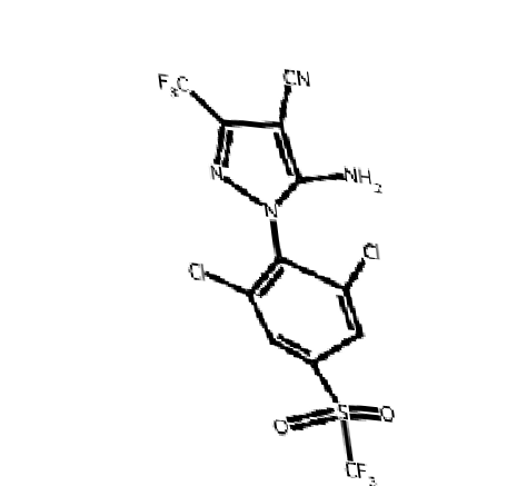 N#Cc1c(C(F)(F)F)nn(-c2c(Cl)cc(S(=O)(=O)C(F)(F)F)cc2Cl)c1N